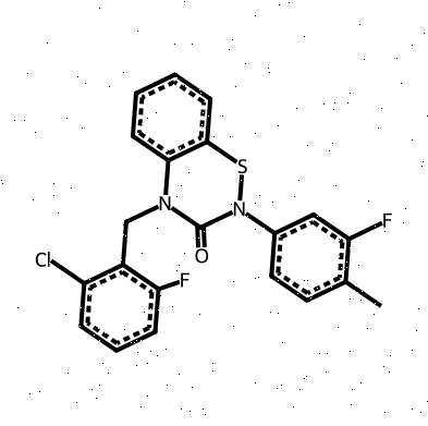 Cc1ccc(N2Sc3ccccc3N(Cc3c(F)cccc3Cl)C2=O)cc1F